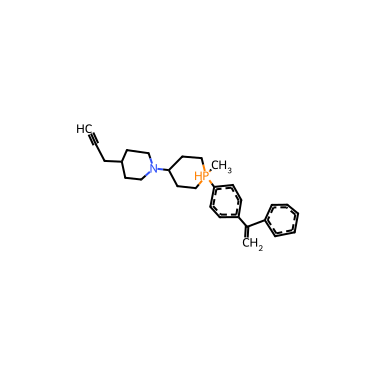 C#CCC1CCN(C2CC[PH](C)(c3ccc(C(=C)c4ccccc4)cc3)CC2)CC1